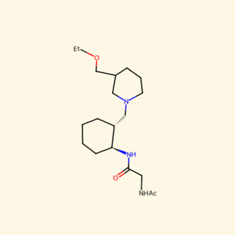 CCOCC1CCCN(C[C@H]2CCCC[C@@H]2NC(=O)CNC(C)=O)C1